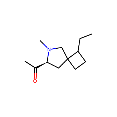 CCC1CCC12C[C@@H](C(C)=O)N(C)C2